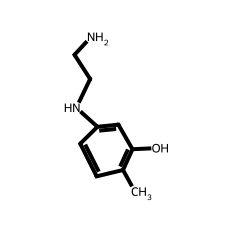 Cc1ccc(NCCN)cc1O